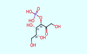 O=C(CO)[C@H](OP(=O)(O)O)[C@@H](O)[C@H](O)CO